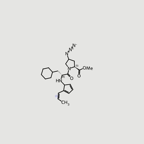 C/C=C\C1=CC=CC1N[C@H](CC1CCCCC1)C(=O)N1CC(N=[N+]=[N-])C[C@H]1C(=O)OC